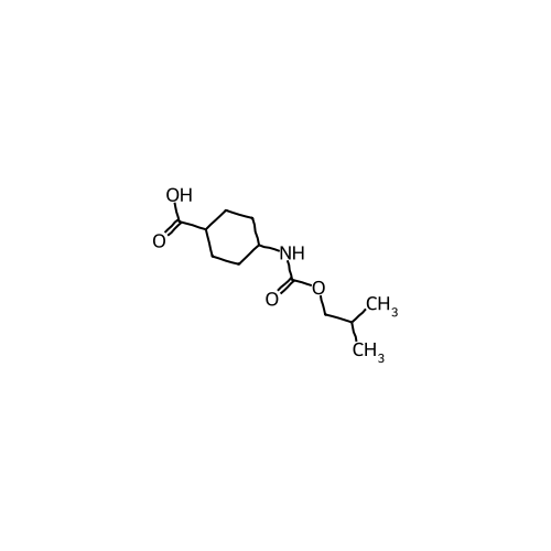 CC(C)COC(=O)NC1CCC(C(=O)O)CC1